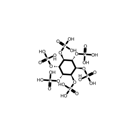 O=P(O)(O)O[C@H]1[C@H](OP(=O)(O)O)[C@H](OP(=O)(O)O)[C@@H](OP(=O)(O)O)[C@H](OP(=O)(O)O)[C@H]1OP(=O)(O)O